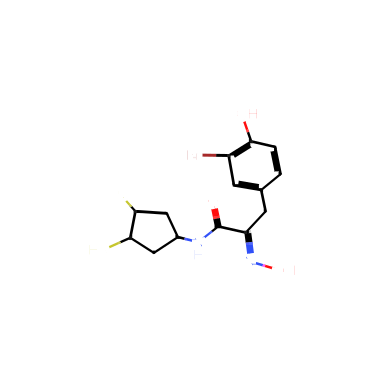 O=C(NC1CC(S)C(S)C1)/C(Cc1ccc(O)c(Br)c1)=N/O